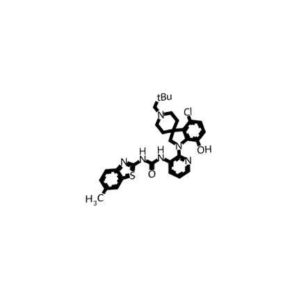 Cc1ccc2nc(NC(=O)Nc3cccnc3N3CC4(CCN(CC(C)(C)C)CC4)c4c(Cl)ccc(O)c43)sc2c1